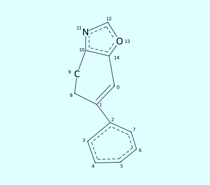 C1=C(c2ccccc2)CCc2ncoc21